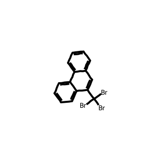 BrC(Br)(Br)c1cc2ccccc2c2ccccc12